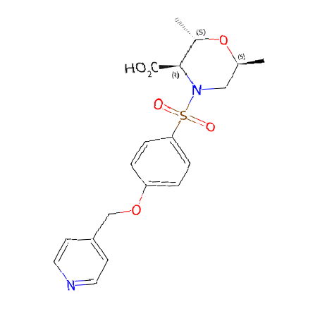 C[C@@H]1O[C@@H](C)CN(S(=O)(=O)c2ccc(OCc3ccncc3)cc2)[C@H]1C(=O)O